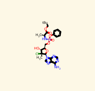 C[C@H](N[P@@](=O)(OC[C@H]1O[C@@H](n2cnc3c(N)ncnc32)[C@](C)(Cl)[C@@H]1O)Oc1ccccc1)C(=O)OCC(C)(C)C